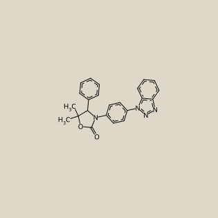 CC1(C)OC(=O)N(c2ccc(-n3nnc4ccccc43)cc2)C1c1ccccc1